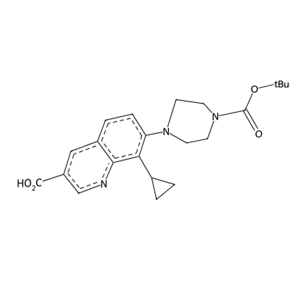 CC(C)(C)OC(=O)N1CCN(c2ccc3cc(C(=O)O)cnc3c2C2CC2)CC1